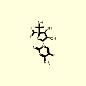 Nc1nc(=O)n([C@@H]2O[C@](C(F)F)(C(O)(F)F)[C@@H](O)[C@H]2O)cc1F